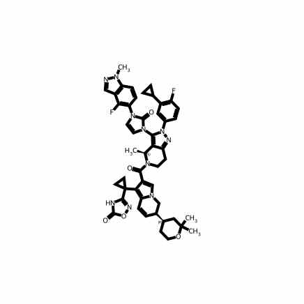 C[C@H]1c2c(nn(-c3ccc(F)c(C4CC4)c3)c2-n2ccn(-c3ccc4c(cnn4C)c3F)c2=O)CCN1C(=O)c1cn2c(c1C1(c3noc(=O)[nH]3)CC1)C=CC([C@@H]1CCOC(C)(C)C1)C2